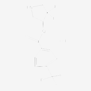 Cl.O=C(NC1CNCC1(F)F)c1ccc(C(F)(F)F)cc1